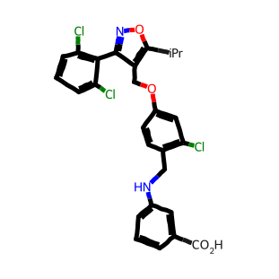 CC(C)c1onc(-c2c(Cl)cccc2Cl)c1COc1ccc(CNc2cccc(C(=O)O)c2)c(Cl)c1